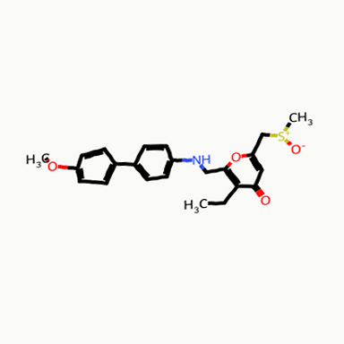 CCc1c(CNc2ccc(-c3ccc(OC)cc3)cc2)oc(C[S+](C)[O-])cc1=O